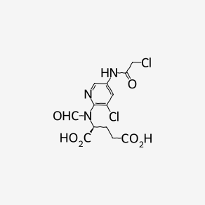 O=CN(c1ncc(NC(=O)CCl)cc1Cl)[C@@H](CCC(=O)O)C(=O)O